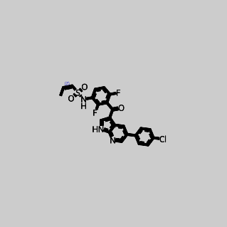 C/C=C\S(=O)(=O)Nc1ccc(F)c(C(=O)c2c[nH]c3ncc(-c4ccc(Cl)cc4)cc23)c1F